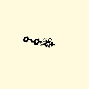 CC(C)(C)n1ncc(SCc2ccc(C=Cc3ccccc3)cc2)c(Cl)c1=O